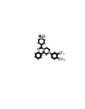 Cc1ccc(N2CCN(C(=O)C3CCS(=O)(=O)CC3)C(c3ccccc3)C2)cc1C(F)(F)F